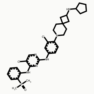 CP(C)(=O)c1ccccc1Nc1nc(Nc2ccc(N3CCC4(CC3)CC(NC3CCCC3)C4)c(Cl)c2)ncc1Cl